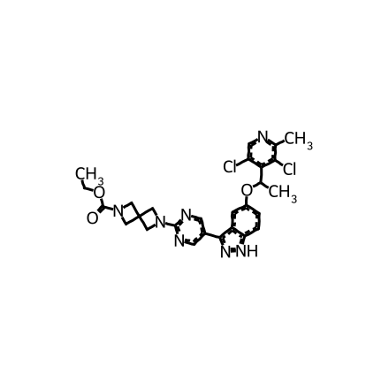 CCOC(=O)N1CC2(C1)CN(c1ncc(-c3n[nH]c4ccc(OC(C)c5c(Cl)cnc(C)c5Cl)cc34)cn1)C2